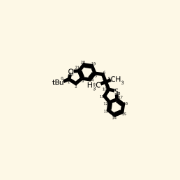 CC(C)(C)C1Cc2cc(CC(C)(C)C3Cc4ccccc4S3)ccc2O1